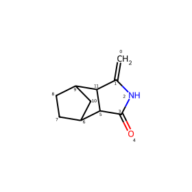 C=C1NC(=O)C2C3CCC(C3)C12